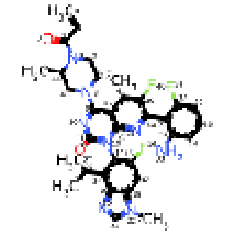 C=CC(=O)N1C[C@H](C)N(c2nc(=O)n(-c3c(F)cc4c(ncn4C)c3C(C)C)c3nc(-c4c(N)cccc4F)c(F)cc23)C[C@H]1C